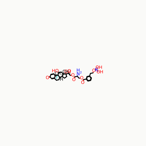 C[C@]12C=CC(=O)C=C1CC[C@H]1C3CCC(O)(C(=O)COC(=O)C(N)COC(=O)c4cccc(CCON(O)O)c4)[C@@]3(C)C[C@H](O)C12F